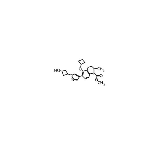 COC(=O)N1c2ccc(-c3cnn(C4CC(O)C4)c3)c(OC3CCC3)c2CCC1C